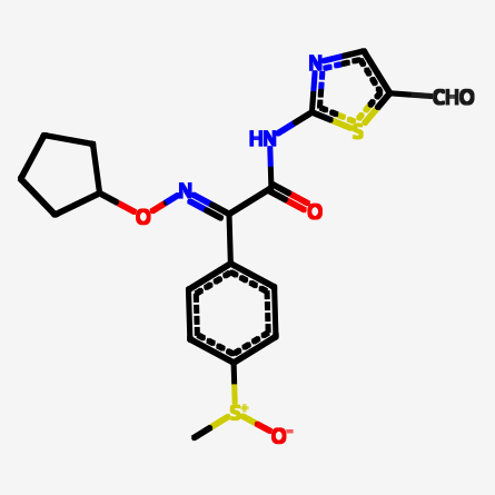 C[S+]([O-])c1ccc(/C(=N\OC2CCCC2)C(=O)Nc2ncc(C=O)s2)cc1